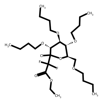 CCCCOC[C@H]1OC(Cl)(C(F)(F)C(=O)OCC)[C@H](OCCCC)[C@@H](OCCCC)[C@@H]1OCCCC